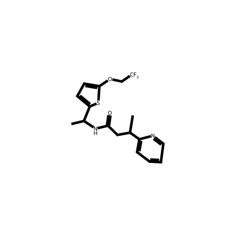 CC(CC(=O)NC(C)c1ccc(OCC(F)(F)F)s1)c1ccccn1